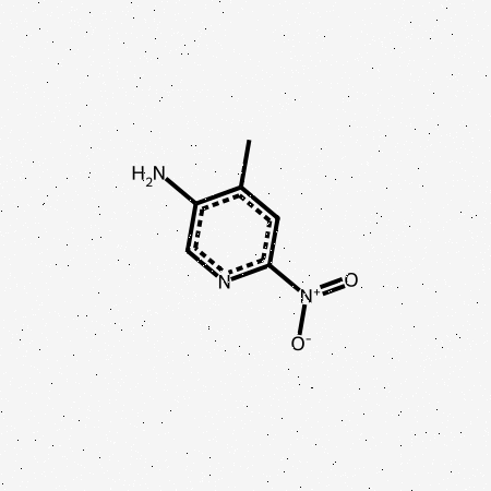 Cc1cc([N+](=O)[O-])ncc1N